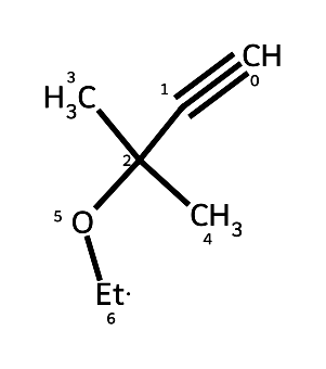 C#CC(C)(C)O[CH]C